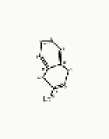 CCC1=CCc2ccccc2[CH]1